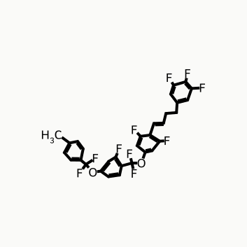 Cc1ccc(C(F)(F)Oc2ccc(C(F)(F)Oc3cc(F)c(/C=C/CCc4cc(F)c(F)c(F)c4)c(F)c3)c(F)c2)cc1